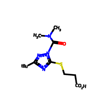 CN(C)C(=O)n1nc(C(C)(C)C)nc1SCCC(=O)O